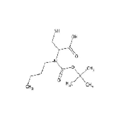 CCCCN(C(=O)OC(C)(C)C)C(CS)C(=O)O